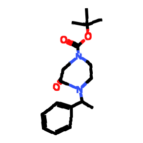 CC(c1ccccc1)N1CCN(C(=O)OC(C)(C)C)CC1=O